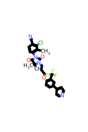 Cc1c(N2C(=O)N(CCCOc3ccc(-c4ccncc4)cc3C(F)(F)F)C(C)(C)C2=O)ccc(C#N)c1Cl